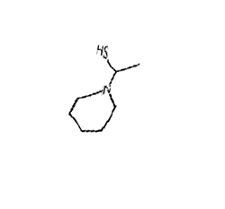 CC(S)N1CCCCC1